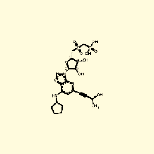 CC(O)C#Cc1cc(NC2CCCC2)c2nnn([C@@H]3O[C@H](CS(=O)(=O)CP(=O)(O)O)[C@@H](O)[C@H]3O)c2n1